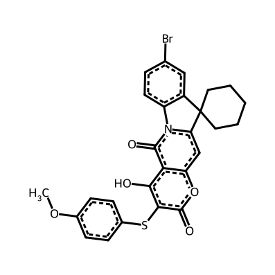 COc1ccc(Sc2c(O)c3c(=O)n4c(cc3oc2=O)C2(CCCCC2)c2cc(Br)ccc2-4)cc1